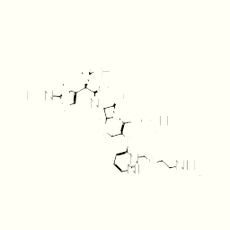 NCCSCN1NC=CC=C1SC1=C(C(=O)O)N2C(=O)[C@@H](NC(=O)/C(=N\O)c3csc(N)n3)[C@@H]2SC1